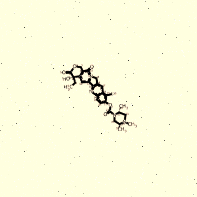 CC[C@@]1(O)C(=O)OCc2c1cc1n(c2=O)Cc2cc3c(I)c(OC(=O)N4C[C@H](C)N(C)C[C@H]4C)ccc3nc2-1